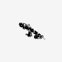 CC(C)c1ccccc1C1CN(C(N)=O)CCC1N1CC2(CCN(c3ccc(C(=O)NS(=O)(=O)c4cc5c(c([N+](=O)[O-])c4)N[C@@H](C4CCC(C)(O)CC4)CO5)c(Oc4cnc5[nH]cc(F)c5c4)c3)CC2)C1